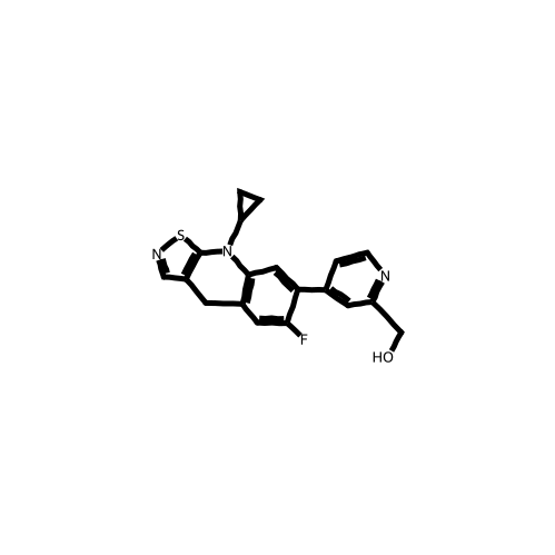 OCc1cc(-c2cc3c(cc2F)Cc2cnsc2N3C2CC2)ccn1